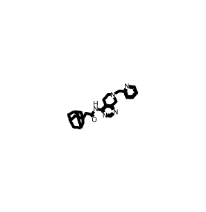 O=C(CC12CC3CC(CC(C3)C1)C2)Nc1ncnc2c1CCN(Cc1ccccn1)C2